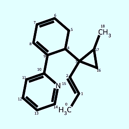 CC=CC1(C2CC=CC=C2c2ccccn2)CC1C